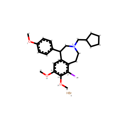 Br.COc1ccc(C2CN(CC3CCCC3)CCc3c2cc(OC)c(OC)c3I)cc1